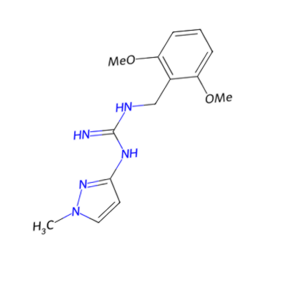 COc1cccc(OC)c1CNC(=N)Nc1ccn(C)n1